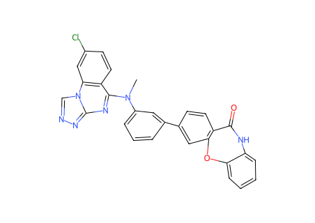 CN(c1cccc(-c2ccc3c(c2)Oc2ccccc2NC3=O)c1)c1nc2nncn2c2cc(Cl)ccc12